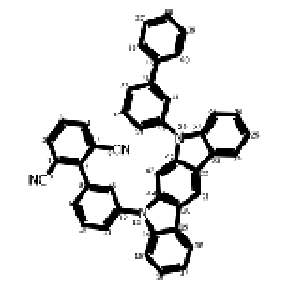 N#Cc1cccc(C#N)c1-c1cccc(-n2c3ccccc3c3cc4c5ccccc5n(-c5cccc(-c6ccccc6)c5)c4cc32)c1